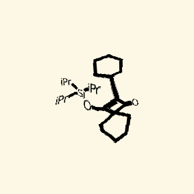 CC(C)[Si](OC1=C(C2CCCCC2)C(=O)C12CCCCC2)(C(C)C)C(C)C